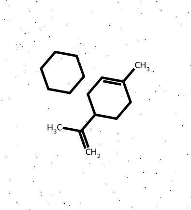 C1CCCCC1.C=C(C)C1CC=C(C)CC1